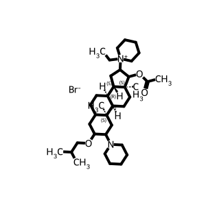 CC[N+]1(C2C[C@H]3[C@@H]4CCC5CC(OCC(C)C)C(N6CCCCC6)C[C@]5(C)[C@@H]4CC[C@]3(C)C2OC(C)=O)CCCCC1.[Br-]